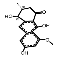 COc1cc(O)cc2cc3c(c(O)c12)C(=O)C[C@@H](C)[C@@H]3O